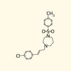 Cc1ccc(S(=O)(=O)N2CCCN(CC=Cc3ccc(Cl)cc3)CC2)cc1